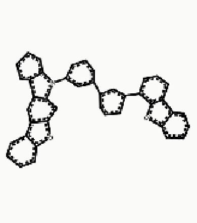 c1cc(-c2cccc(-n3c4ccccc4c4cc5c(cc43)oc3ccccc35)c2)cc(-c2cccc3c2oc2ccccc23)c1